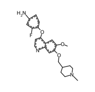 COc1cc2c(Oc3ccc(N)cc3F)ccnc2cc1OCC1CCN(C)CC1